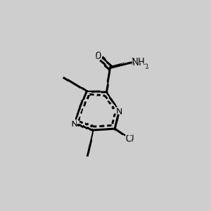 Cc1nc(C)c(C(N)=O)nc1Cl